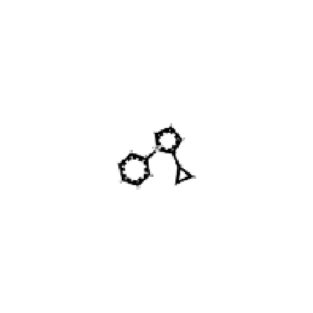 c1ccc(-n2cccc2C2CC2)cc1